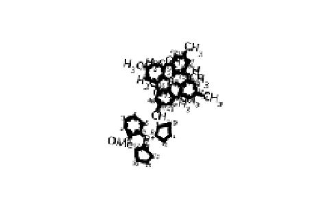 COc1ccccc1[PH+](C1CCCC1)C1CCCC1.Cc1cc(C)c([B-](c2c(C)cc(C)cc2C)(c2c(C)cc(C)cc2C)c2c(C)cc(C)cc2C)c(C)c1